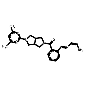 Cc1cc(C)nc(N2CC3CN(C(=O)c4ccccc4/C=N/C=C\N)CC3C2)n1